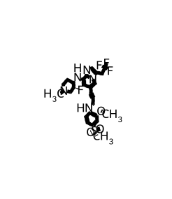 COc1cc(S(C)(=O)=O)ccc1NCC#Cc1cc(N[C@@H]2CCN(C)C[C@H]2F)c2ncc(CC(F)(F)F)n2c1